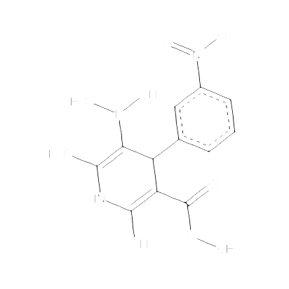 COC(=O)C1=C(C)NC(C)=C(P(C)C)C1c1cccc([N+](=O)[O-])c1